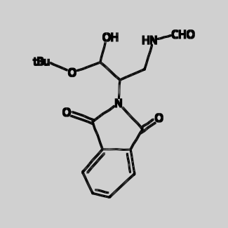 CC(C)(C)OC(O)C(CNC=O)N1C(=O)c2ccccc2C1=O